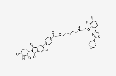 O=C1CCC(N2C(=O)c3cc(F)c(N4CCN(C(=O)COCCOCCNCCOc5c(-c6csc(N7CCOCC7)n6)ccc(F)c5F)CC4)cc3C2=O)C(=O)N1